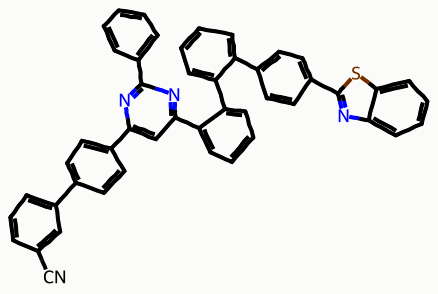 N#Cc1cccc(-c2ccc(-c3cc(-c4ccccc4-c4ccccc4-c4ccc(-c5nc6ccccc6s5)cc4)nc(-c4ccccc4)n3)cc2)c1